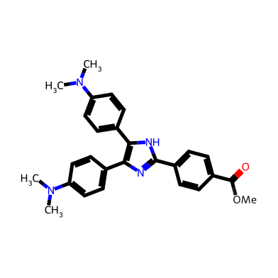 COC(=O)c1ccc(-c2nc(-c3ccc(N(C)C)cc3)c(-c3ccc(N(C)C)cc3)[nH]2)cc1